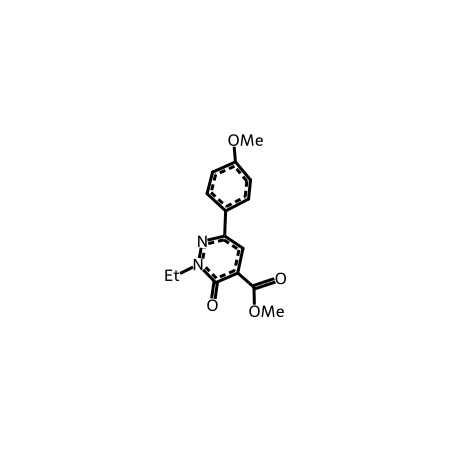 CCn1nc(-c2ccc(OC)cc2)cc(C(=O)OC)c1=O